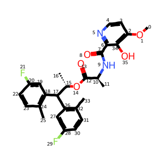 COc1ccnc(C(=O)N[C@@H](C)C(=O)O[C@@H](C)C(c2cc(F)ccc2C)c2cc(F)ccc2C)c1O